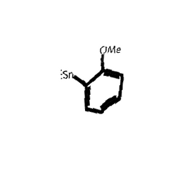 COc1cccc[c]1[Sn]